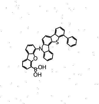 OB(O)c1cccc2c1oc1c(-n3c4ccccc4c4c5sc6c(-c7ccccc7)cccc6c5ccc43)cccc12